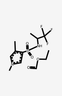 CCOC=O.Cc1cn(C)cc1S(=O)(=O)NC(C)C(F)(F)F